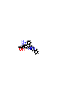 Cc1ccccc1-c1cc2nc(-c3ccc(C4(N)CC(C)(O)C4)cc3)c(-c3ccccc3)cn2n1